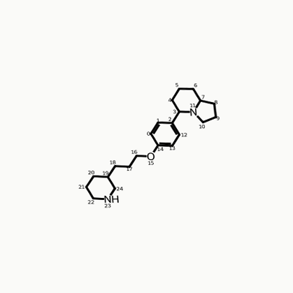 c1cc(C2CCCC3CCCN32)ccc1OCCCC1CCCNC1